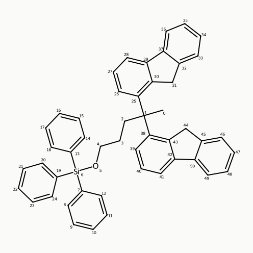 CC(CCCO[Si](c1ccccc1)(c1ccccc1)c1ccccc1)(c1cccc2c1Cc1ccccc1-2)c1cccc2c1Cc1ccccc1-2